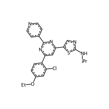 CCOc1ccc(-c2cc(-c3cnc(NC(C)C)s3)nc(-c3ccncc3)n2)c(Cl)c1